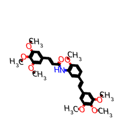 COc1ccc(C=Cc2cc(OC)c(OC)c(OC)c2)cc1NC(=O)/C=C/c1cc(OC)c(OC)c(OC)c1